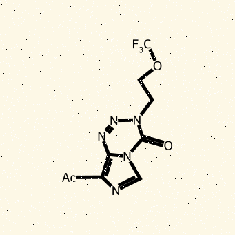 CC(=O)c1ncn2c(=O)n(CCOC(F)(F)F)nnc12